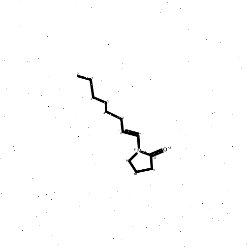 CCCCCCC=CN1CCCC1=O